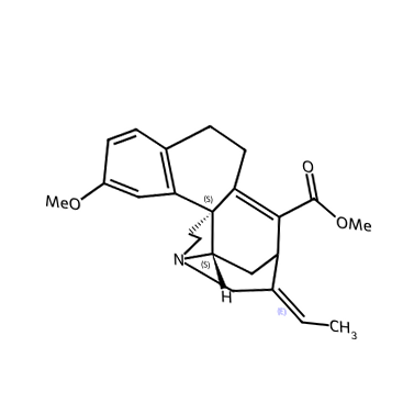 C/C=C1/CN2CC[C@]34C(=C(C(=O)OC)C1C[C@H]23)CCc1ccc(OC)cc14